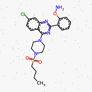 CCCCS(=O)(=O)N1CCN(c2nc(-c3ccccc3ON)nc3cc(Cl)ccc23)CC1